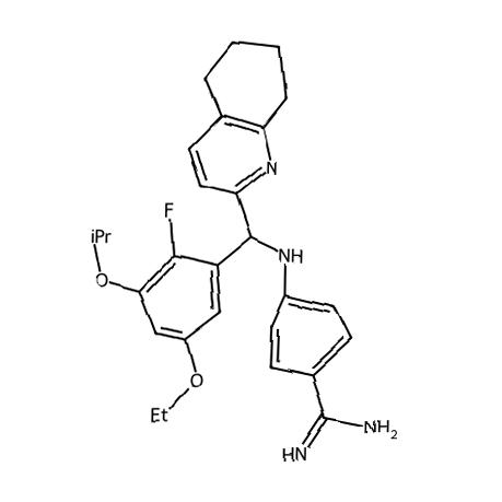 CCOc1cc(OC(C)C)c(F)c(C(Nc2ccc(C(=N)N)cc2)c2ccc3c(n2)CCCC3)c1